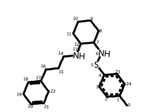 Cc1ccc(SNC2CCCCC2NCCCC2=CCC=CC2)cc1